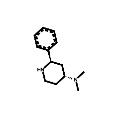 CN(C)[C@@H]1CCN[C@@H](c2ccccc2)C1